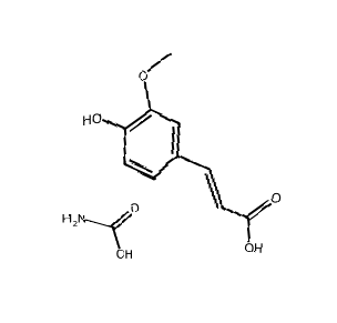 COc1cc(C=CC(=O)O)ccc1O.NC(=O)O